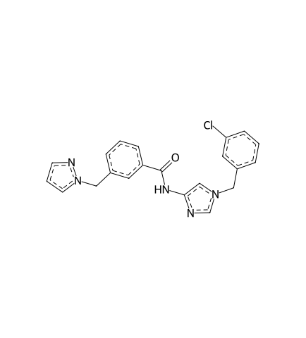 O=C(Nc1cn(Cc2cccc(Cl)c2)cn1)c1cccc(Cn2cccn2)c1